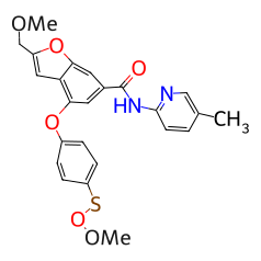 COCc1cc2c(Oc3ccc(SOOC)cc3)cc(C(=O)Nc3ccc(C)cn3)cc2o1